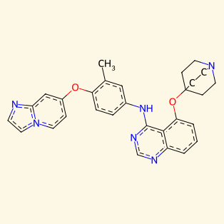 Cc1cc(Nc2ncnc3cccc(OC45CCN(CC4)CC5)c23)ccc1Oc1ccn2ccnc2c1